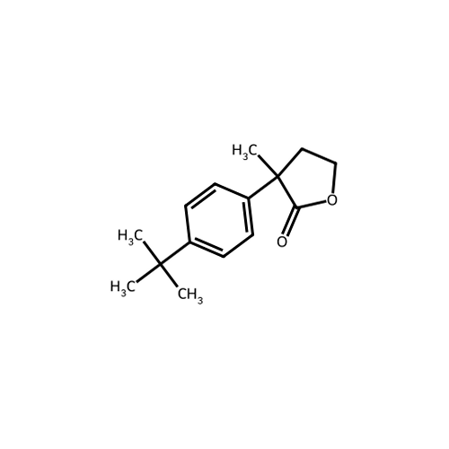 CC(C)(C)c1ccc(C2(C)CCOC2=O)cc1